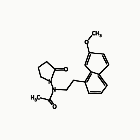 COc1ccc2cccc(CCN(C(C)=O)N3CCCC3=O)c2c1